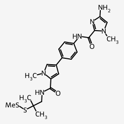 CSSC(C)(C)CNC(=O)c1cc(-c2ccc(NC(=O)c3nc(N)cn3C)cc2)cn1C